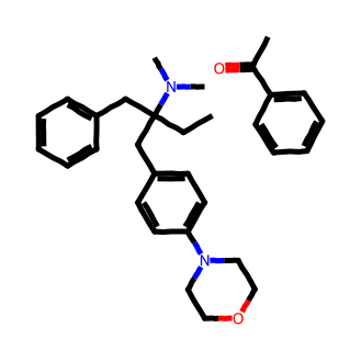 CC(=O)c1ccccc1.CCC(Cc1ccccc1)(Cc1ccc(N2CCOCC2)cc1)N(C)C